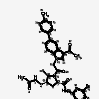 CC(=O)NC[C@H]1C[C@@H](C(=O)Nc2cccc(Br)n2)N(C(=O)Cn2nc(C(C)=O)c3cc(-c4cnc(C)nc4)ccc32)[C@@H]1I